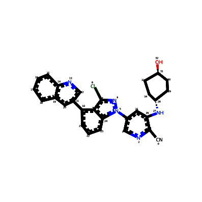 N#Cc1ncc(-n2nc(Cl)c3c(-c4cnc5ccccc5c4)cccc32)cc1N[C@H]1CC[C@H](O)CC1